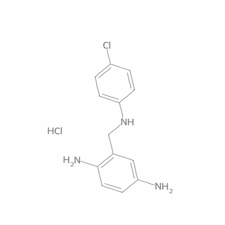 Cl.Nc1ccc(N)c(CNc2ccc(Cl)cc2)c1